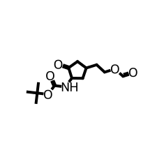 CC(C)(C)OC(=O)NC1CC(CCOC=O)CC1=O